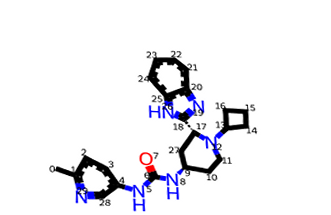 Cc1ccc(NC(=O)N[C@@H]2CCN(C3CCC3)[C@@H](c3nc4ccccc4[nH]3)C2)cn1